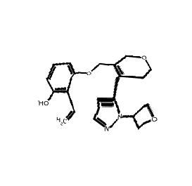 C=Cc1c(O)cccc1OCC1=C(c2ccnn2C2COC2)CCOC1